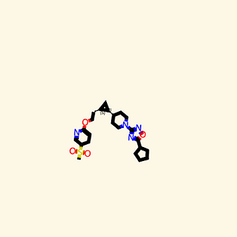 CS(=O)(=O)C1C=NC(OCC[C@@H]2C[C@@H]2C2CCN(c3noc(C4CCCC4)n3)CC2)=CC1